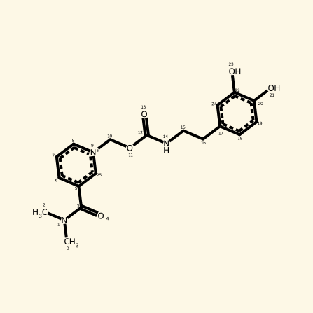 CN(C)C(=O)c1ccc[n+](COC(=O)NCCc2ccc(O)c(O)c2)c1